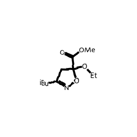 CCOC1(C(=O)OC)CC(C(C)CC)=NO1